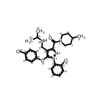 CC1CCN(C(=O)c2nn(-c3ccccc3Cl)c(Oc3ccc(Cl)cc3)c2CNC(C)C)CC1